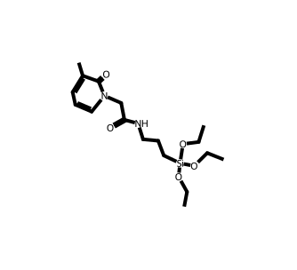 CCO[Si](CCCNC(=O)Cn1cccc(C)c1=O)(OCC)OCC